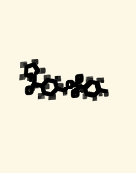 Cc1ccc(S(=O)(=O)OCC2CCC(C(=O)N3CCCC3)CC2)cc1